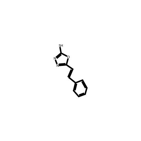 Sc1nnc(C=Cc2ccccc2)o1